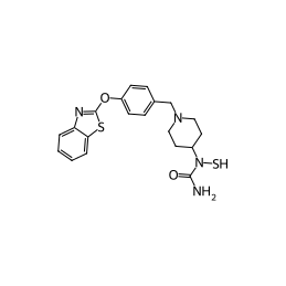 NC(=O)N(S)C1CCN(Cc2ccc(Oc3nc4ccccc4s3)cc2)CC1